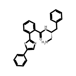 NC[C@@H](Cc1ccccc1)NC(=O)c1ccccc1-c1ncc(-c2ccccc2)s1